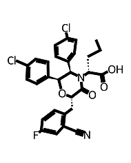 CCC[C@H](C(=O)O)N1C(=O)[C@H](Cc2ccc(F)cc2C#N)O[C@@H](c2ccc(Cl)cc2)[C@H]1c1ccc(Cl)cc1